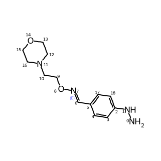 NNc1ccc(/C=N/OCCN2CCOCC2)cc1